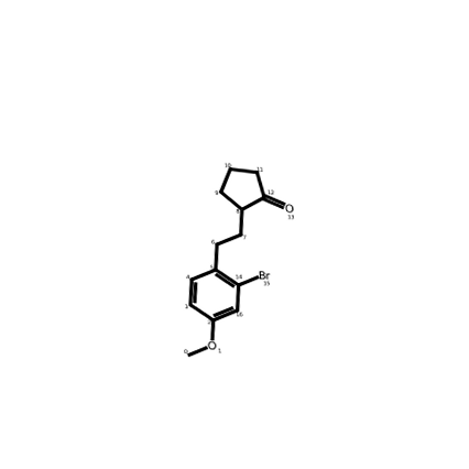 COc1ccc(CCC2CCCC2=O)c(Br)c1